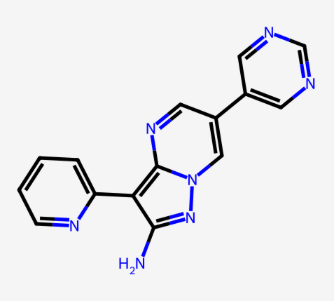 Nc1nn2cc(-c3cncnc3)cnc2c1-c1ccccn1